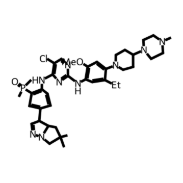 CCc1cc(Nc2ncc(Cl)c(Nc3ccc(C4C=NN5CC(C)(C)CC45)cc3P(C)(C)=O)n2)c(OC)cc1N1CCC(N2CCN(C)CC2)CC1